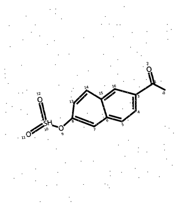 CC(=O)c1ccc2cc(O[SH](=O)=O)ccc2c1